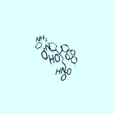 COC(=O)NCCC[C@@](O)(c1cccc(Cl)c1Oc1cccc(C)c1)[C@@H]1CCCN(C(=O)[C@@H]2CC[C@H](N)C2)C1